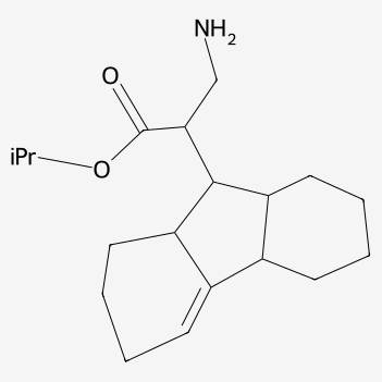 CC(C)OC(=O)C(CN)C1C2CCCC=C2C2CCCCC21